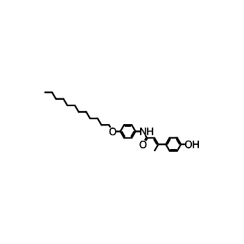 CCCCCCCCCCCCOc1ccc(NC(=O)/C=C(\C)c2ccc(O)cc2)cc1